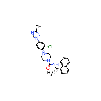 Cc1ncn(-c2ccc(N3CCN(C(=O)N[C@@H](C)c4cccc5ccccc45)CC3)c(Cl)c2)n1